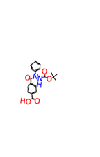 CC(C)(C)OC(=O)NN(C(=O)c1ccc(C(=O)O)cc1)c1ccccc1